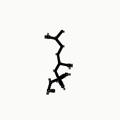 CC(O)CCC(O)CS(=O)(=O)OC=O